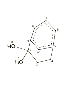 OC1(O)CCc2cccc1c2